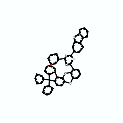 c1ccc(-c2nc(-c3ccc4c(c3)sc3ccccc34)nc(-c3cccc4c3Oc3c(ccc5c3-c3ccccc3C5(c3ccccc3)c3ccccc3)O4)n2)cc1